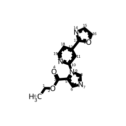 CCOC(=O)c1cncn1-c1cc(-c2ncco2)ccn1